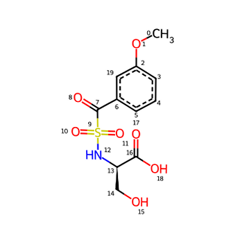 COc1cccc(C(=O)S(=O)(=O)N[C@H](CO)C(=O)O)c1